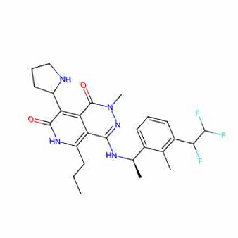 CCCc1[nH]c(=O)c(C2CCCN2)c2c(=O)n(C)nc(N[C@H](C)c3cccc(C(F)C(F)F)c3C)c12